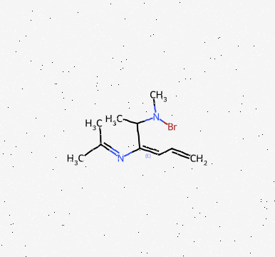 C=C/C=C(/N=C(C)C)C(C)N(C)Br